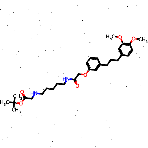 COc1ccc(CCCc2cccc(OCC(=O)NCCCCCNCC(=O)OC(C)(C)C)c2)cc1OC